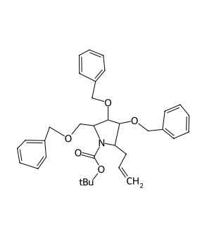 C=CCC1C(OCc2ccccc2)C(OCc2ccccc2)C(COCc2ccccc2)N1C(=O)OC(C)(C)C